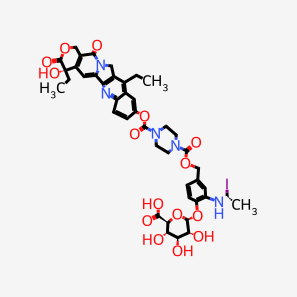 CCc1c2c(nc3ccc(OC(=O)N4CCN(C(=O)OCc5ccc(O[C@@H]6O[C@H](C(=O)O)[C@@H](O)[C@H](O)[C@H]6O)c(N[C@@H](C)I)c5)CC4)cc13)-c1cc3c(c(=O)n1C2)COC(=O)[C@]3(O)CC